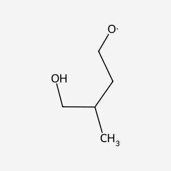 CC(CO)CC[O]